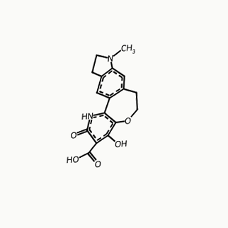 CN1CCc2cc3c(cc21)CCOc1c-3[nH]c(=O)c(C(=O)O)c1O